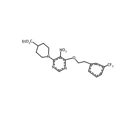 CCOC(=O)C1CCN(c2ncnc(OCCc3cccc(C(F)(F)F)c3)c2[N+](=O)[O-])CC1